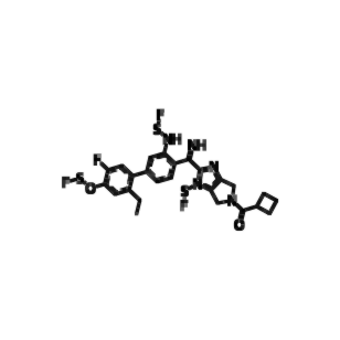 CCc1cc(OSF)c(F)cc1-c1ccc(C(=N)c2nc3c(n2SF)CN(C(=O)C2CCC2)C3)c(NSF)c1